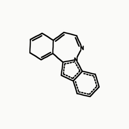 C1=CC2=CC=Nn3c(cc4ccccc43)C2=CC1